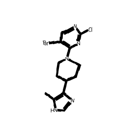 Cc1[nH]cnc1C1CCN(c2nc(Cl)ncc2Br)CC1